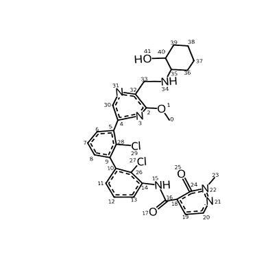 COc1nc(-c2cccc(-c3cccc(NC(=O)c4ccnn(C)c4=O)c3Cl)c2Cl)cnc1CNC1CCCCC1O